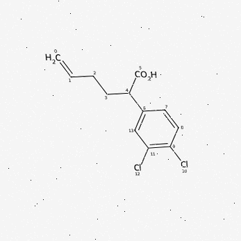 C=CCCC(C(=O)O)c1ccc(Cl)c(Cl)c1